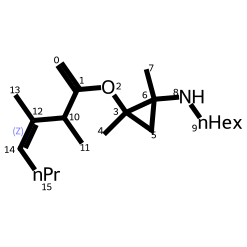 C=C(OC1(C)CC1(C)NCCCCCC)C(C)/C(C)=C\CCC